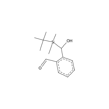 CC(C)(C)[Si](C)(C)C(O)c1ccccc1C=O